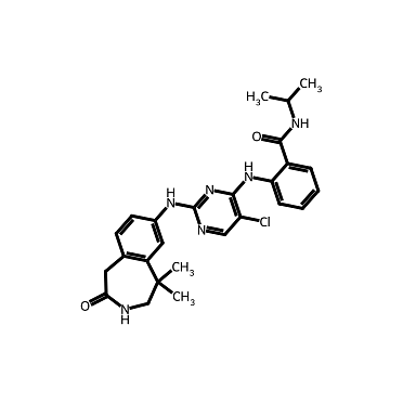 CC(C)NC(=O)c1ccccc1Nc1nc(Nc2ccc3c(c2)C(C)(C)CNC(=O)C3)ncc1Cl